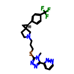 Cn1c(SCCCN2CCC3(C[C@H]3c3ccc(C(F)(F)F)cc3)C2)nnc1-c1cccnn1